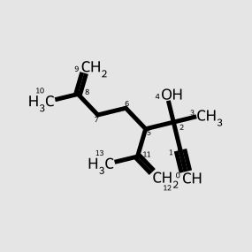 C#CC(C)(O)C(CCC(=C)C)C(=C)C